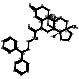 C[C@@]12CCC[C@H]1[C@@H]1CN(C(=O)NCCC(c3ccccc3)c3ccccc3)C3=CC(=O)CC[C@]3(C)[C@H]1CC2